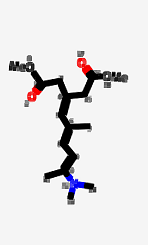 COC(=O)CC(=C/C(C)=C/C=C(\C)N(C)C)CC(=O)OC